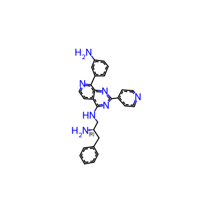 Nc1cccc(-c2nccc3c(NC[C@H](N)Cc4ccccc4)nc(-c4ccncc4)nc23)c1